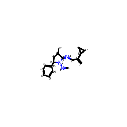 C=NN1/C(=N\CC(=C)C2CC2)C(C)CC1c1ccccc1